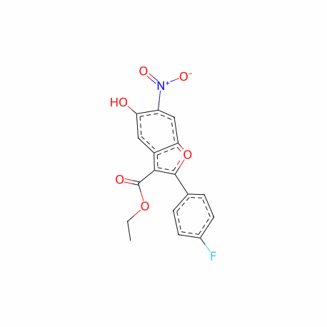 CCOC(=O)c1c(-c2ccc(F)cc2)oc2cc([N+](=O)[O-])c(O)cc12